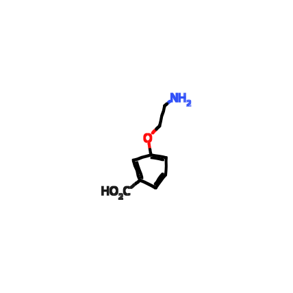 NCCOc1cccc(C(=O)O)c1